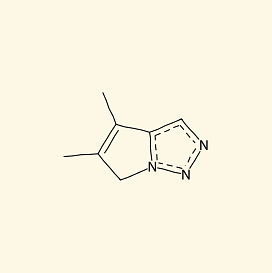 CC1=C(C)c2cnnn2C1